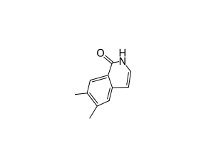 Cc1cc2cc[nH]c(=O)c2cc1C